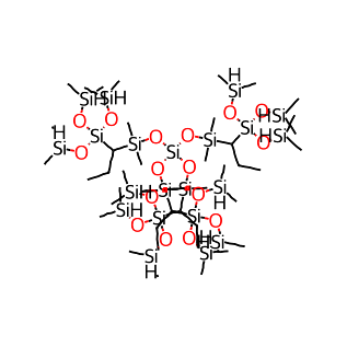 CCC([Si](C)(C)O[Si](O[Si](C)(C)C(CC)[Si](O[SiH](C)C)(O[SiH](C)C)O[SiH](C)C)(O[Si](C)(C)C(CC)[Si](O[SiH](C)C)(O[SiH](C)C)O[SiH](C)C)O[Si](C)(C)C(CC)[Si](O[SiH](C)C)(O[SiH](C)C)O[SiH](C)C)[Si](O[SiH](C)C)(O[SiH](C)C)O[SiH](C)C